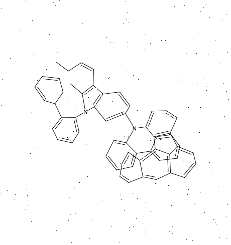 CC/C=C\c1c(C)n(-c2ccccc2C2C=CC=CC2)c2cc(N(c3ccccc3-c3ccccc3)c3cccc4c3-c3c5ccccc5cc5cccc-4c35)ccc12